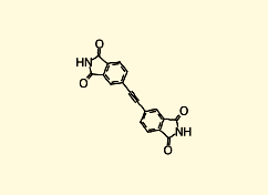 O=C1NC(=O)c2cc(C#Cc3ccc4c(c3)C(=O)NC4=O)ccc21